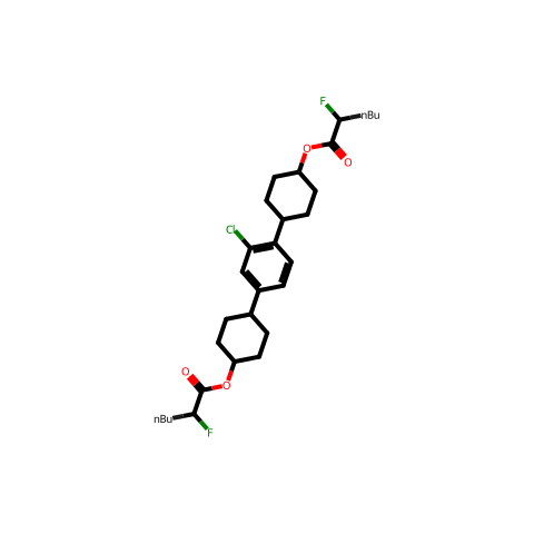 CCCCC(F)C(=O)OC1CCC(c2ccc(C3CCC(OC(=O)C(F)CCCC)CC3)c(Cl)c2)CC1